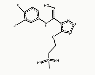 CS(=N)(=N)CCOc1nonc1/C(=N/O)Nc1ccc(F)c(Br)c1